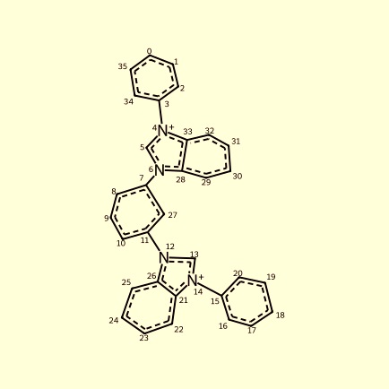 c1ccc(-[n+]2cn(-c3cccc(-n4c[n+](-c5ccccc5)c5ccccc54)c3)c3ccccc32)cc1